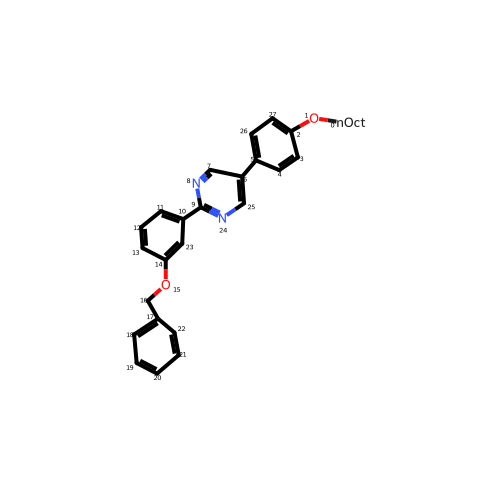 CCCCCCCCOc1ccc(-c2cnc(-c3cccc(OCc4ccccc4)c3)nc2)cc1